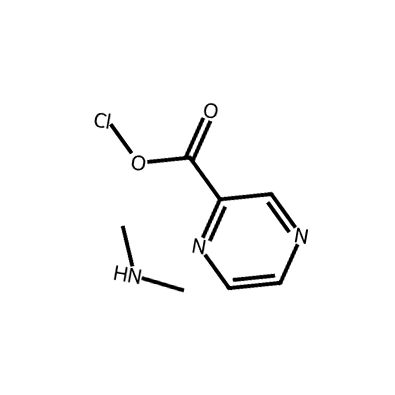 CNC.O=C(OCl)c1cnccn1